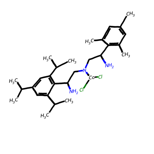 Cc1cc(C)c(C(N)C[N](CC(N)c2c(C(C)C)cc(C(C)C)cc2C(C)C)[Co]([Cl])[Cl])c(C)c1